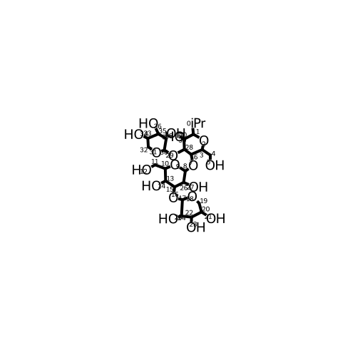 CC(C)C1OC(CO)C(OC2OC(CO)C(O)C(OC3OCC(O)C(O)C3O)C2O)C(OC2OCC(O)C(O)C2O)C1O